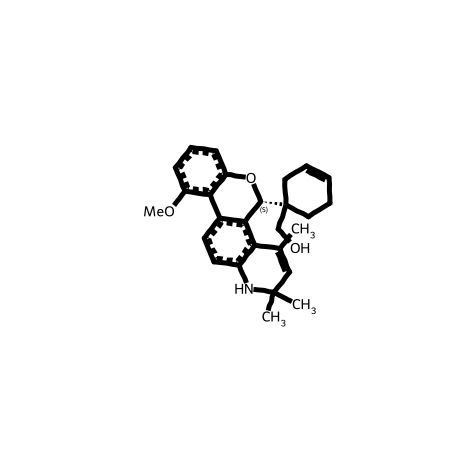 COc1cccc2c1-c1ccc3c(c1[C@@H](C1(CO)CC=CCC1)O2)C(C)=CC(C)(C)N3